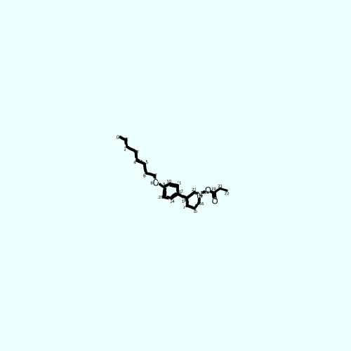 CCCCCCCCOc1ccc(C2CCCN(OC(=O)CC)C2)cc1